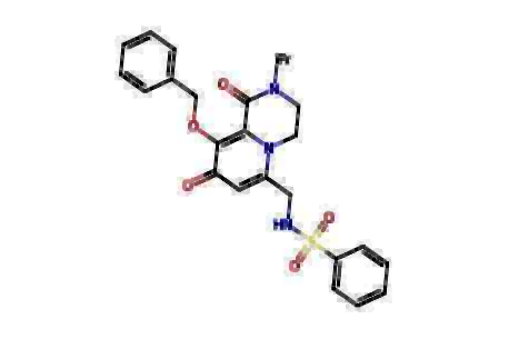 CC(C)N1CCn2c(CNS(=O)(=O)c3ccccc3)cc(=O)c(OCc3ccccc3)c2C1=O